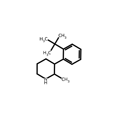 CC1NCCCC1c1ccccc1C(C)(C)C